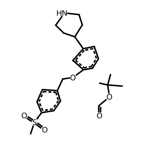 CC(C)(C)OC=O.CS(=O)(=O)c1ccc(COc2cccc(C3CCNCC3)c2)cc1